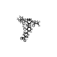 [2H]C([2H])([2H])NC(=O)c1nnc(NC(=O)C2CC2)cc1Nc1cccc(-c2cnc([N+](=O)[O-])cn2)c1OC